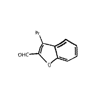 CC(C)c1c(C=O)oc2ccccc12